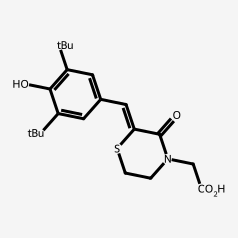 CC(C)(C)c1cc(C=C2SCCN(CC(=O)O)C2=O)cc(C(C)(C)C)c1O